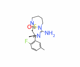 Cc1ccc(F)c([C@]2(C)C[S@@]3(=O)=NCCCCN3C(N)=N2)c1